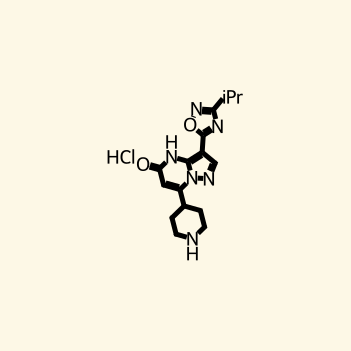 CC(C)c1noc(-c2cnn3c(C4CCNCC4)cc(=O)[nH]c23)n1.Cl